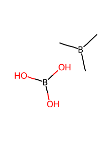 CB(C)C.OB(O)O